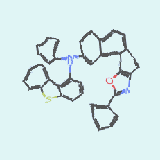 c1ccc(-c2nc3ccc4ccc5ccc(N(c6ccccc6)c6cccc7sc8ccccc8c67)cc5c4c3o2)cc1